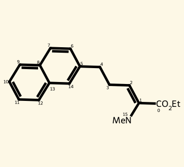 CCOC(=O)/C(=C/CCc1ccc2ccccc2c1)NC